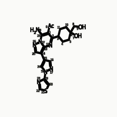 CC(=O)c1c(C2CCC(O)(CO)CC2)nc2c(-c3cnn(-c4cscn4)c3)cnn2c1N